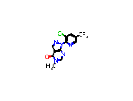 Cn1cnc2c(cnn2-c2ncc(C(F)(F)F)cc2Cl)c1=O